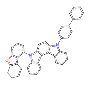 C1=Cc2c(oc3cccc(-n4c5ccccc5c5c6c7ccccc7n(-c7ccc(-c8ccccc8)cc7)c6ccc54)c23)CC1